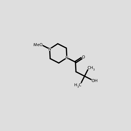 CON1CCN(C(=O)CC(C)(C)O)CC1